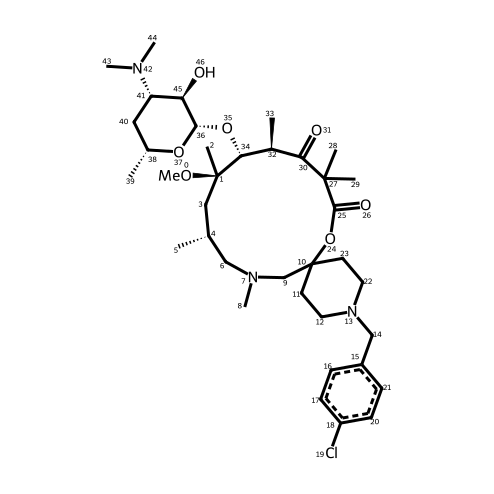 CO[C@]1(C)C[C@@H](C)CN(C)CC2(CCN(Cc3ccc(Cl)cc3)CC2)OC(=O)C(C)(C)C(=O)[C@H](C)[C@H]1O[C@@H]1O[C@H](C)C[C@H](N(C)C)[C@H]1O